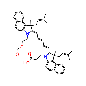 CC(C)=CCC1(C)C(/C=C/C=C/C=C2\N(CCOC=O)c3ccc4ccccc4c3C2(C)CC=C(C)C)=[N+](CCC(=O)O)c2ccc3ccccc3c21